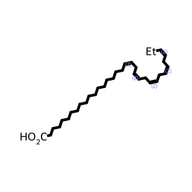 CC/C=C\C/C=C\C/C=C\C/C=C\C/C=C\CCCCCCCCCCCCCCCCCC(=O)O